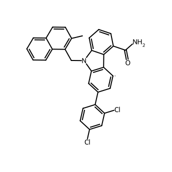 Cc1ccc2ccccc2c1Cn1c2cc(-c3ccc(Cl)cc3Cl)c[c]c2c2c(C(N)=O)cccc21